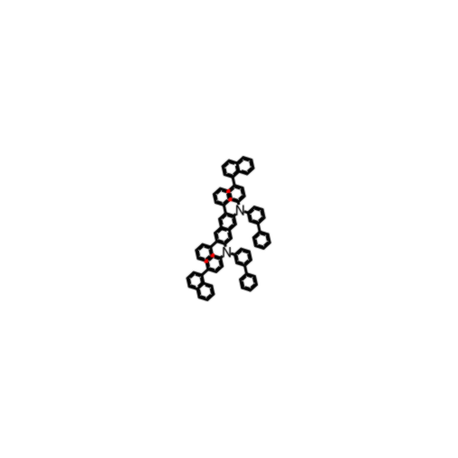 c1ccc(-c2cccc(N(c3ccc(-c4cccc5ccccc45)cc3)c3cc4cc(N(c5ccc(-c6cccc7ccccc67)cc5)c5cccc(-c6ccccc6)c5)c(-c5ccccc5)cc4cc3-c3ccccc3)c2)cc1